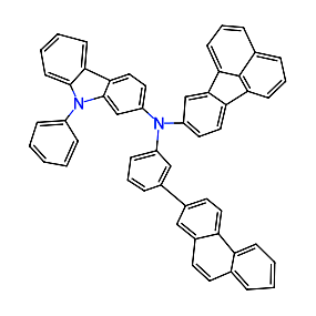 c1ccc(-n2c3ccccc3c3ccc(N(c4cccc(-c5ccc6c(ccc7ccccc76)c5)c4)c4ccc5c(c4)-c4cccc6cccc-5c46)cc32)cc1